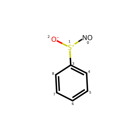 O=N[S+]([O-])c1ccccc1